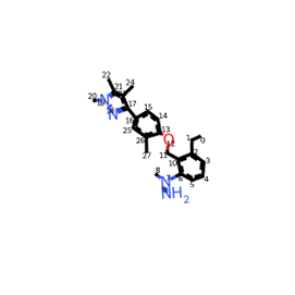 CCc1cccc(N(C)N)c1COc1ccc(-c2nn(C)c(C)c2C)cc1C